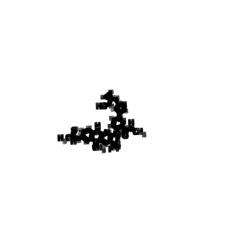 CNC(=O)c1nc(-c2cnn(CC3(CO)CC3)c2)ccc1Nc1nc(Nc2ccc(C[PH](C)=O)cc2OC)ncc1C(F)(F)F